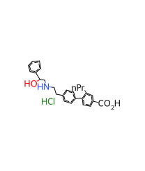 CCCc1cc(C(=O)O)ccc1-c1ccc(CCNC[C@@H](O)c2ccccc2)cc1.Cl